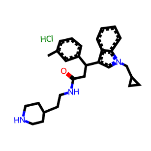 Cc1cccc(C(CC(=O)NCCC2CCNCC2)c2cn(CC3CC3)c3ccccc23)c1.Cl